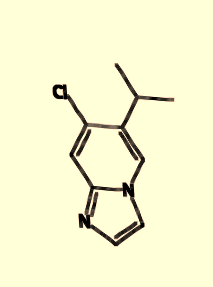 CC(C)c1cn2ccnc2cc1Cl